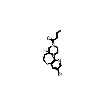 CCCC(=O)N1CCN2c3ncc(Br)cc3SCC[C@@H]2C1